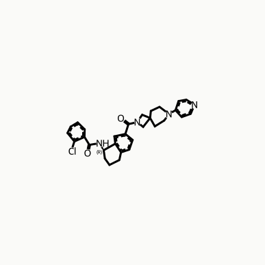 O=C(N[C@@H]1CCCc2ccc(C(=O)N3CC4(CCN(c5ccncc5)CC4)C3)cc21)c1ccccc1Cl